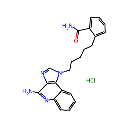 Cl.NC(=O)c1ccccc1CCCCCn1cnc2c(N)nc3ccccc3c21